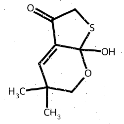 CC1(C)C=C2C(=O)CSC2(O)OC1